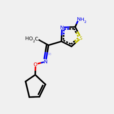 Nc1nc(/C(=N/OC2C=CCC2)C(=O)O)cs1